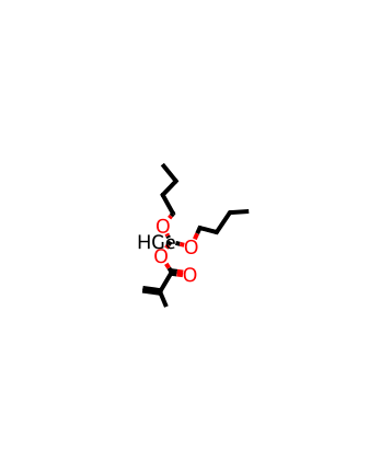 C=C(C)C(=O)[O][GeH]([O]CCCC)[O]CCCC